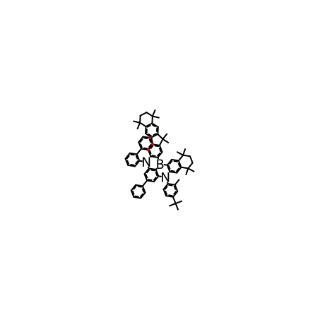 Cc1cc(C(C)(C)C)ccc1N1c2cc3c(cc2B2c4cc5c(cc4N(c4ccccc4-c4ccccc4)c4cc(-c6ccccc6)cc1c42)-c1cc2c(cc1C5(C)C)C(C)(C)CCC2(C)C)C(C)(C)CCC3(C)C